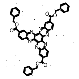 O=C(OCc1ccccc1)c1ccc2nc3c4nc5ccc(C(=O)OCc6ccccc6)cc5nc4c4nc5cc(C(=O)OCc6ccccc6)ccc5nc4c3nc2c1